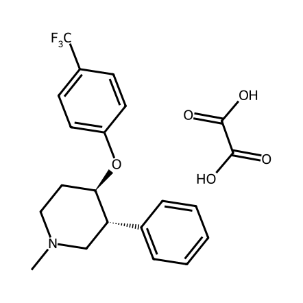 CN1CC[C@@H](Oc2ccc(C(F)(F)F)cc2)[C@H](c2ccccc2)C1.O=C(O)C(=O)O